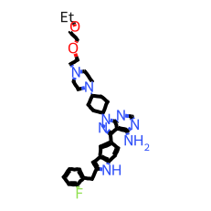 CCOCCOCCN1CCN([C@H]2CC[C@H](n3nc(-c4ccc5[nH]c(Cc6ccccc6F)cc5c4)c4c(N)ncnc43)CC2)CC1